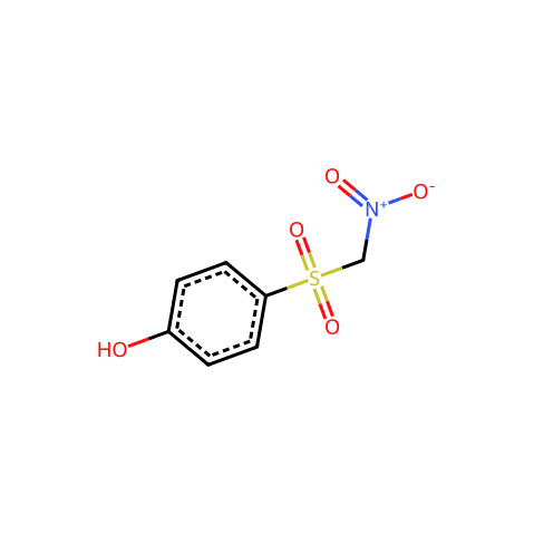 O=[N+]([O-])CS(=O)(=O)c1ccc(O)cc1